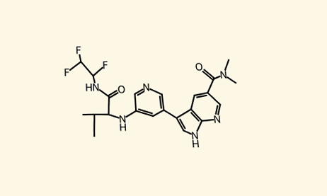 CC(C)C(Nc1cncc(-c2c[nH]c3ncc(C(=O)N(C)C)cc23)c1)C(=O)NC(F)C(F)F